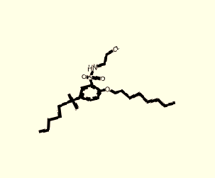 CCCCCCCCOc1ccc(C(C)(C)CCCCC)cc1S(=O)(=O)NCC[O]